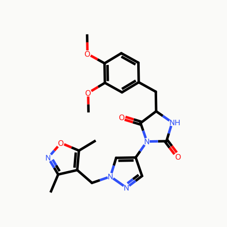 COc1ccc(CC2NC(=O)N(c3cnn(Cc4c(C)noc4C)c3)C2=O)cc1OC